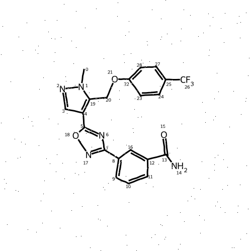 Cn1ncc(-c2nc(-c3cccc(C(N)=O)c3)no2)c1COc1ccc(C(F)(F)F)cc1